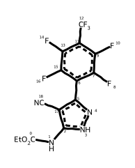 CCOC(=O)Nc1[nH]nc(-c2c(F)c(F)c(C(F)(F)F)c(F)c2F)c1C#N